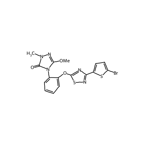 COc1nn(C)c(=O)n1-c1ccccc1Oc1nc(-c2ccc(Br)s2)ns1